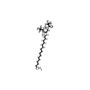 CCCCCCCCCCCCCCCCC[C@@H](COC(=O)C(F)(F)F)NC(=O)C(F)(F)F